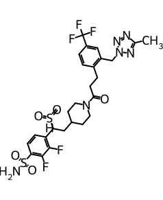 Cc1nnn(Cc2cc(C(F)(F)F)ccc2CCC(=O)N2CCC(CC(c3ccc(S(N)(=O)=O)c(F)c3F)[SH](=O)=O)CC2)n1